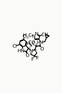 C[C@@H](C(=O)N(CC1CC1)c1cn(C)nc1C#N)[C@H]1CC(F)(F)CN1[C@@]1(CC(=O)O)C(=O)Nc2c(Cl)cc(Cl)cc21